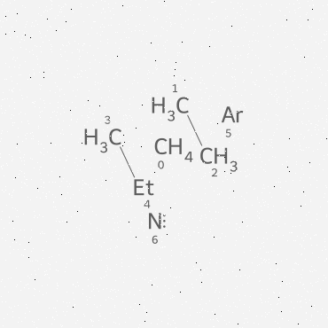 C.CC.CCC.[Ar].[N]